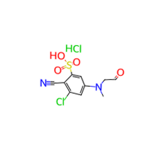 CN(CC=O)c1cc(Cl)c(C#N)c(S(=O)(=O)O)c1.Cl